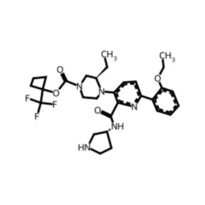 CCOc1ccccc1-c1ccc(N2CCN(C(=O)OC3(C(F)(F)F)CCC3)C[C@H]2CC)c(C(=O)N[C@@H]2CCNC2)n1